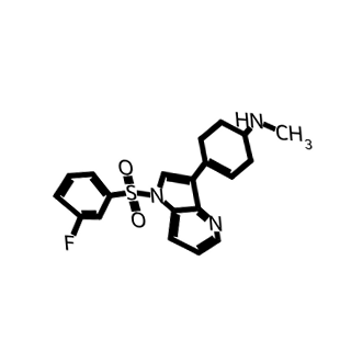 CNC1CC=C(c2cn(S(=O)(=O)c3cccc(F)c3)c3cccnc23)CC1